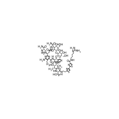 Cc1c(N)nc([C@H](CC(N)=O)NC[C@H](N)C(N)=O)nc1C(=O)N[C@H](C(=O)N[C@H](C)[C@@H](O)[C@H](C)C(=O)N[C@H](C(=O)NCCc1nc(-c2nc(C(=O)NCCCCN=C(N)N)cs2)cs1)C1(O)CC1)[C@@H](O[C@@H]1O[C@@H](CO)[C@@H](O)[C@H](O)[C@@H]1O[C@H]1O[C@H](CO)[C@@H](O)[C@H](OC(N)=O)[C@@H]1O)c1cnc[nH]1